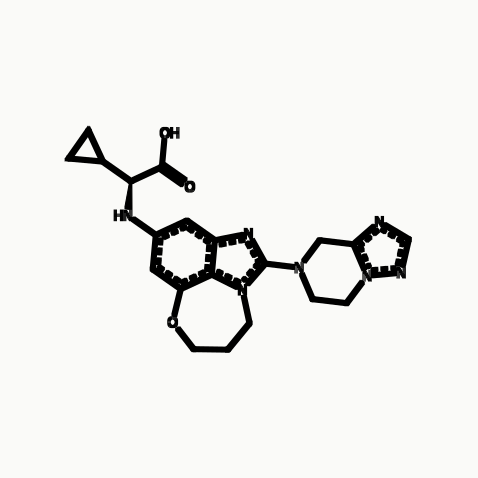 O=C(O)[C@@H](Nc1cc2c3c(c1)nc(N1CCn4ncnc4C1)n3CCCO2)C1CC1